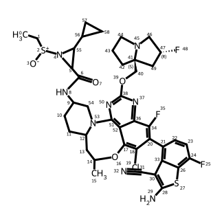 CC[S+]([O-])N1C(C(=O)NC2CCC3CC(C)Oc4c(Cl)c(-c5ccc(F)c6sc(N)c(C#N)c56)c(F)c5nc(OC[C@@]67CCCN6C[C@H](F)C7)nc(c45)N3C2)C1C1CC1